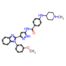 COc1cccc(-n2c(-c3cc(NC(=O)c4ccc(NC5CCN(C)CC5)cc4)[nH]n3)nc3ccccc32)c1